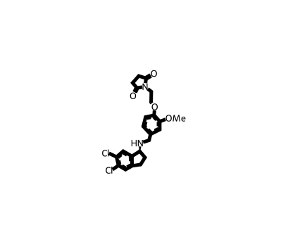 COc1cc(CN[C@H]2CCc3cc(Cl)c(Cl)cc32)ccc1OCCN1C(=O)CCC1=O